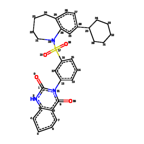 O=c1[nH]c2ccccc2c(=O)n1-c1cccc(S(=O)(=O)N2CCCCc3ccc(C4CCCCC4)cc32)c1